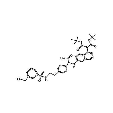 CC(C)(C)OC(=O)N(C(=O)OC(C)(C)C)c1nccc2cc(NC(C(=O)O)c3ccc(CCNS(=O)(=O)c4cccc(CN)c4)cc3)ccc12